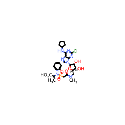 CC(NP(=O)(CC(=O)N(C)C[C@H]1O[C@@H](n2cnc3c(NC4CCCC4)nc(Cl)nc32)[C@H](O)[C@@H]1O)Oc1ccccc1)C(=O)O